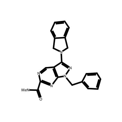 CNC(=O)c1ncc2c(N3Cc4ccccc4C3)nn(Cc3ccccc3)c2n1